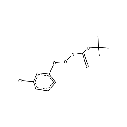 CC(C)(C)OC(=O)NOOc1cccc(Cl)c1